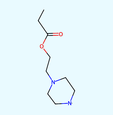 CCC(=O)OCCN1CC[N]CC1